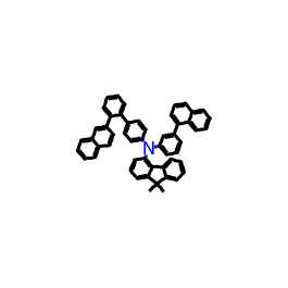 CC1(C)c2ccccc2-c2c(N(c3ccc(-c4ccccc4-c4ccc5ccccc5c4)cc3)c3cccc(-c4cccc5ccccc45)c3)cccc21